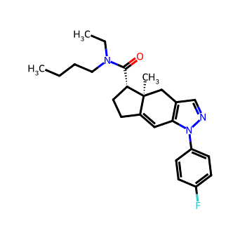 CCCCN(CC)C(=O)[C@H]1CCC2=Cc3c(cnn3-c3ccc(F)cc3)C[C@@]21C